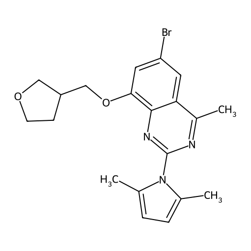 Cc1nc(-n2c(C)ccc2C)nc2c(OCC3CCOC3)cc(Br)cc12